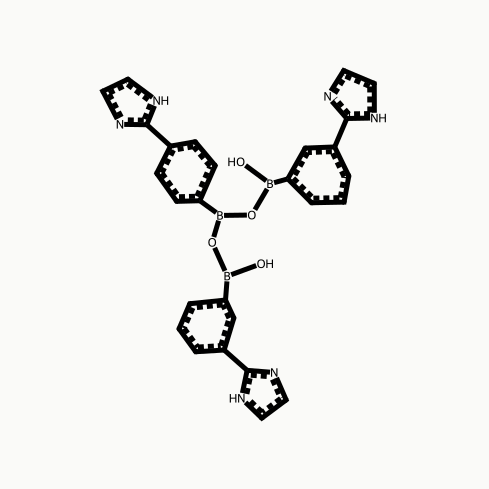 OB(OB(OB(O)c1cccc(-c2ncc[nH]2)c1)c1ccc(-c2ncc[nH]2)cc1)c1cccc(-c2ncc[nH]2)c1